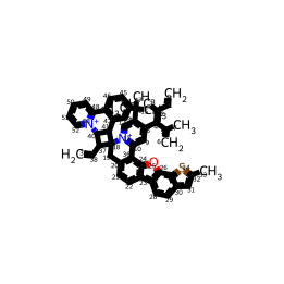 C=C/C(C)=C(\C(=C)C)c1cc2[n+](cc1C(C)(C)C)C1(Cc3ccc4c(oc5c4ccc4cc(C)sc45)c3-2)C(C=C)C2C1c1ccccc1-c1cccc[n+]12